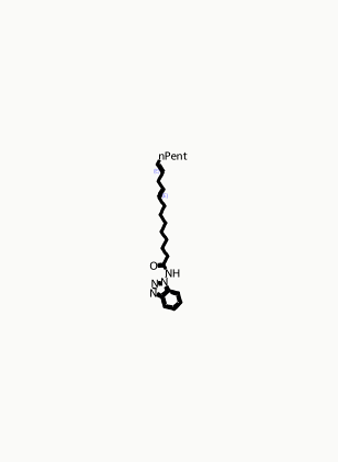 CCCCC/C=C/C/C=C/CCCCCCCC(=O)Nn1nnc2ccccc21